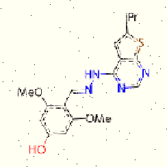 COc1cc(O)cc(OC)c1/C=N/Nc1ncnc2sc(C(C)C)cc12